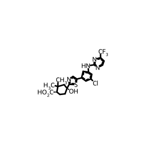 CC1(C)C[C@](O)(c2ncc(-c3cc(Cl)cc(Nc4nccc(C(F)(F)F)n4)c3)s2)CC[C@H]1C(=O)O